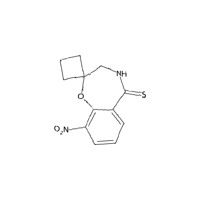 O=[N+]([O-])c1cccc2c1OC1(CCC1)CNC2=S